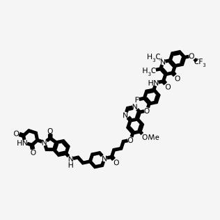 COc1cc2c(Oc3ccc(NC(=O)c4c(C)n(C)c5ccc(OC(F)(F)F)cc5c4=O)cc3F)ncnc2cc1OCCCC(=O)N1CCC(CCNc2ccc3c(c2)CN(C2CCC(=O)NC2=O)C3=O)CC1